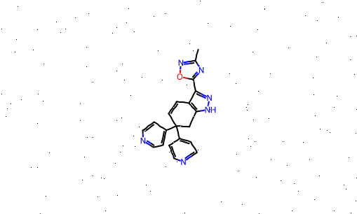 Cc1noc(-c2n[nH]c3c2C=CC(c2ccncc2)(c2ccncc2)C3)n1